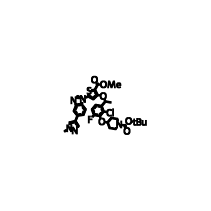 COC(=O)c1sc(-n2cnc3cc(-c4cnn(C)c4)ccc32)cc1OC(C)c1ccc(F)c(OC2CCN(C(=O)OC(C)(C)C)CC2)c1Cl